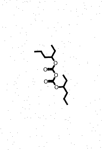 CCCC(CC)OC(=O)OC(=O)OC(CC)CCC